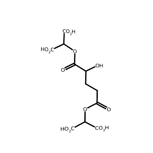 O=C(CCC(O)C(=O)OC(C(=O)O)C(=O)O)OC(C(=O)O)C(=O)O